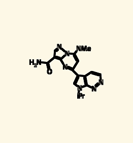 CNc1cc(-c2cn(C(C)C)c3nnccc23)nc2c(C(N)=O)cnn12